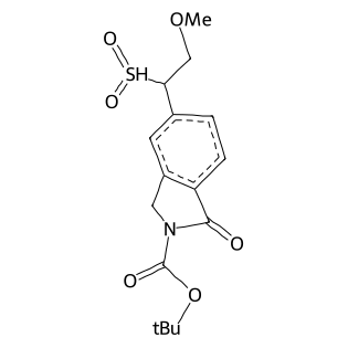 COCC(c1ccc2c(c1)CN(C(=O)OC(C)(C)C)C2=O)[SH](=O)=O